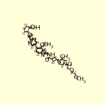 COCCOCC(=O)N1CCN([C@H]2C[C@@H](C(=O)Nc3nc4ccc(-c5cnc(CO[C@H]6CCC[C@@H]6O)nc5)c(OC)c4s3)C2)[C@@H](C)C1